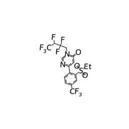 CCS(=O)(=O)c1cc(C(F)(F)F)ccc1-c1cc(=O)n(CC(F)(F)C(F)C(F)(F)F)cn1